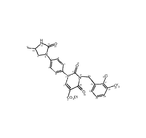 CCOC(=O)c1cn(-c2ccc(N3CC(C)NC3=O)cc2)c(=O)n(Cc2cccc(C(F)(F)F)c2Cl)c1=O